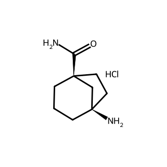 Cl.NC(=O)[C@@]12CCC[C@@](N)(CC1)C2